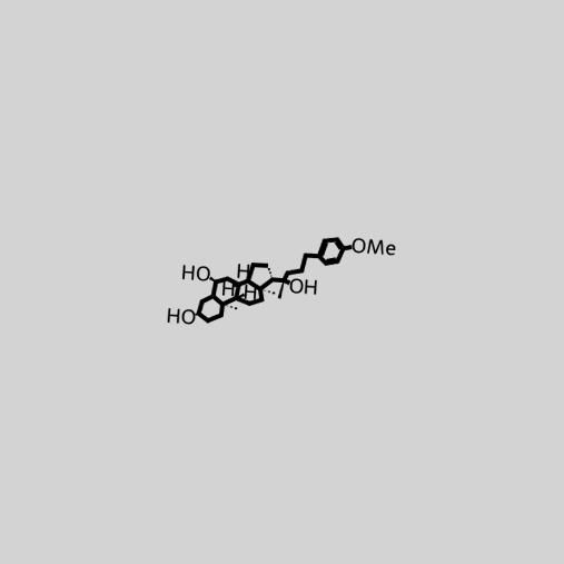 COc1ccc(CCC[C@](C)(O)[C@H]2CC[C@H]3[C@@H]4C[C@H](O)C5C[C@@H](O)CC[C@]5(C)[C@H]4CC[C@@]32C)cc1